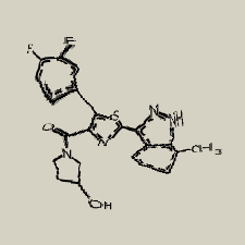 Cc1cccc2c(-c3nc(C(=O)N4CCC(O)C4)c(-c4ccc(F)c(F)c4)s3)n[nH]c12